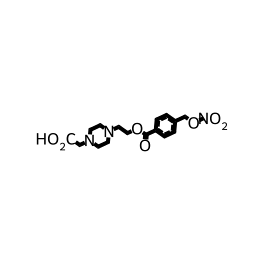 O=C(O)CN1CCN(CCOC(=O)c2ccc(CO[N+](=O)[O-])cc2)CC1